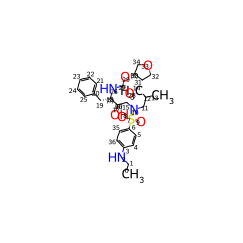 CCNc1ccc(S(=O)(=O)N(CC(C)C)C[C@@H](O)[C@H](Cc2ccccc2)NC(=O)O[C@H]2CCOC2)cc1